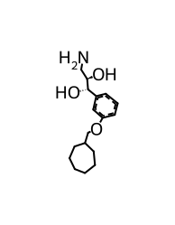 NC[C@@H](O)[C@@H](O)c1cccc(OCC2CCCCCC2)c1